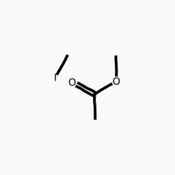 CI.COC(C)=O